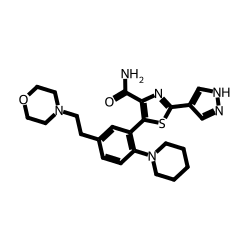 NC(=O)c1nc(-c2cn[nH]c2)sc1-c1cc(CCN2CCOCC2)ccc1N1CCCCC1